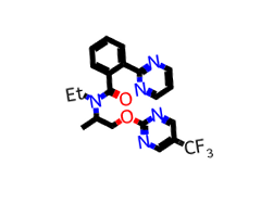 CCN(C(=O)c1ccccc1-c1ncccn1)C(C)COc1ncc(C(F)(F)F)cn1